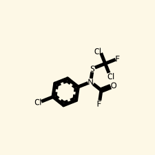 O=C(F)N(SC(F)(Cl)Cl)c1ccc(Cl)cc1